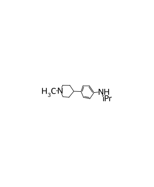 CC(C)Nc1ccc(C2CCN(C)CC2)cc1